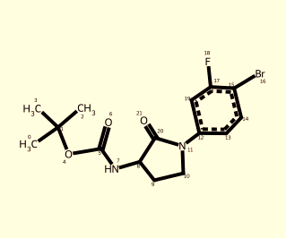 CC(C)(C)OC(=O)NC1CCN(c2ccc(Br)c(F)c2)C1=O